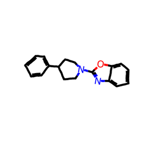 c1ccc(C2CCN(c3nc4ccccc4o3)CC2)cc1